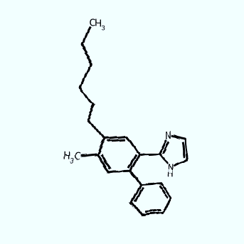 CCCCCCc1cc(-c2ncc[nH]2)c(-c2ccccc2)cc1C